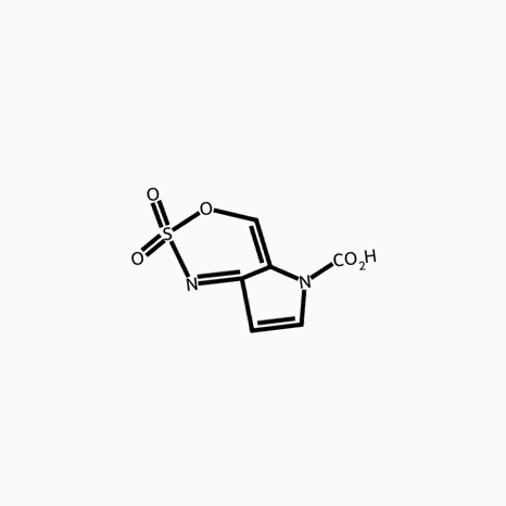 O=C(O)n1ccc2c1=COS(=O)(=O)N=2